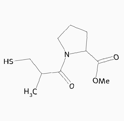 COC(=O)C1CCCN1C(=O)C(C)CS